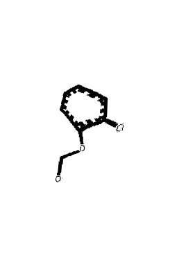 [O]COc1ccccc1Cl